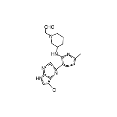 Cc1ccc(-c2cnc3[nH]cc(Cl)c3n2)c(NC2CCCN(CC=O)C2)n1